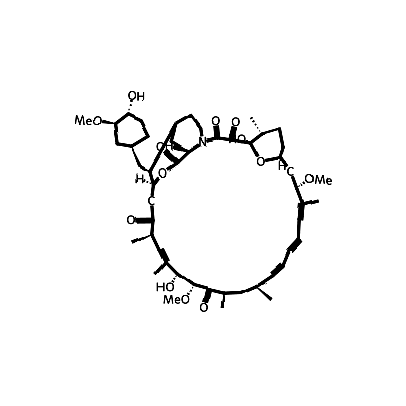 CO[C@H]1C[C@@H]2CC[C@@H](C)[C@@](O)(O2)C(=O)C(=O)N2CCC3C[C@H]2C(=O)O[C@@H](CC(=O)[C@H](C)/C=C(\C)[C@@H](O)[C@@H](OC)C(=O)[C@H](C)C[C@H](C)/C=C/C=C/C=C/1C)[C@H]3C[C@@H]1CC[C@@H](O)[C@H](OC)C1